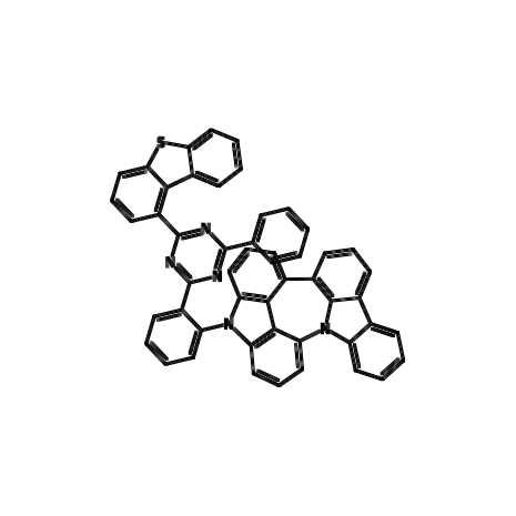 c1ccc(-c2nc(-c3ccccc3-n3c4cccc5c6cccc7c8ccccc8n(c8cccc3c8c54)c67)nc(-c3cccc4sc5ccccc5c34)n2)cc1